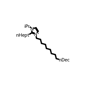 CCCCCCCCCCCCCCCCCCC[n+]1ccn(C(C)C)c1CCCCCCC